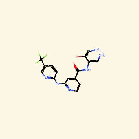 N/C=C(Br)\C(=C/N)NC(=O)c1ccnc(Nc2ccc(C(F)(F)F)cn2)c1